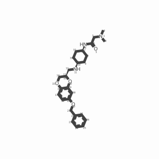 CN(C)CC(=O)N[C@H]1CC[C@@H](NC[C@@H]2COc3ccc(OCc4ccccc4)cc3O2)CC1